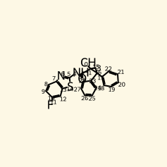 CC1(C(=O)Nc2nc3ccc(F)cc3s2)CC1(c1ccccc1)c1ccccc1